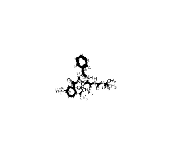 CC(C)[C@@H]1CC[C@@H](C)C[C@@]1(O)C(=O)NC[C@@H](NC(=O)[C@H](C)NC(=O)OC(C)(C)C)c1ccccc1